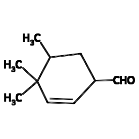 CC1CC(C=O)C=CC1(C)C